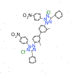 Cc1cc(-c2ccc(N3N=C(c4ccccc4)N(Cl)N3c3ccc([N+](=O)[O-])cc3)c(C)c2)ccc1N1N=C(c2ccccc2)N(Cl)N1c1ccc([N+](=O)[O-])cc1